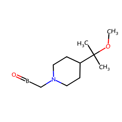 COC(C)(C)C1CCN(CB=O)CC1